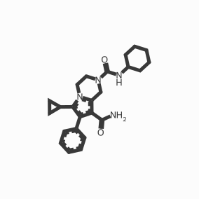 NC(=O)c1c(-c2ccccc2)c(C2CC2)n2c1CN(C(=O)NC1CCCCC1)CC2